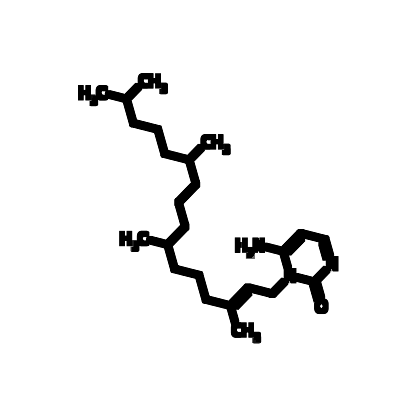 C/C(=C\Cn1c(N)ccnc1=O)CCCC(C)CCCC(C)CCCC(C)C